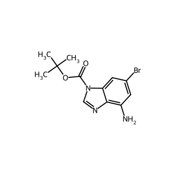 CC(C)(C)OC(=O)n1cnc2c(N)cc(Br)cc21